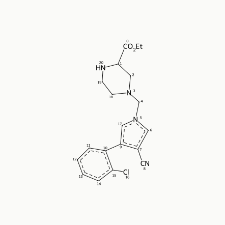 CCOC(=O)C1CN(Cn2cc(C#N)c(-c3ccccc3Cl)c2)CCN1